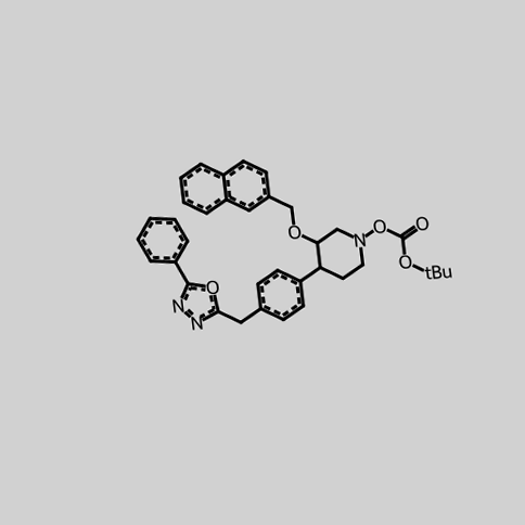 CC(C)(C)OC(=O)ON1CCC(c2ccc(Cc3nnc(-c4ccccc4)o3)cc2)C(OCc2ccc3ccccc3c2)C1